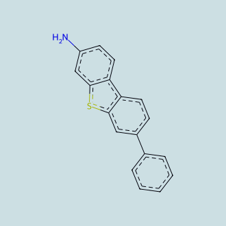 Nc1ccc2c(c1)sc1cc(-c3ccccc3)ccc12